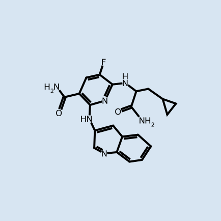 NC(=O)c1cc(F)c(NC(CC2CC2)C(N)=O)nc1Nc1cnc2ccccc2c1